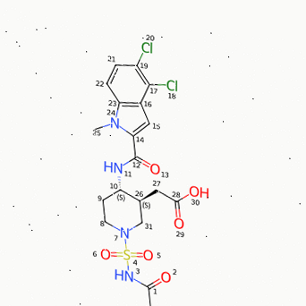 CC(=O)NS(=O)(=O)N1CC[C@H](NC(=O)c2cc3c(Cl)c(Cl)ccc3n2C)[C@@H](CC(=O)O)C1